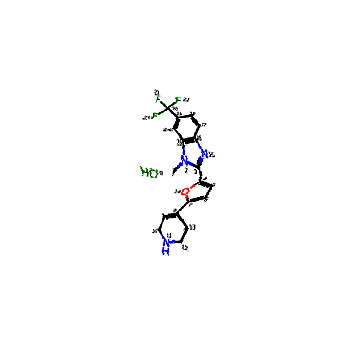 Cl.Cn1c(-c2ccc(C3=CCNCC3)o2)nc2ccc(C(F)(F)F)cc21